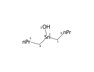 CCC[CH2][Sn]([OH])[CH2]CCC